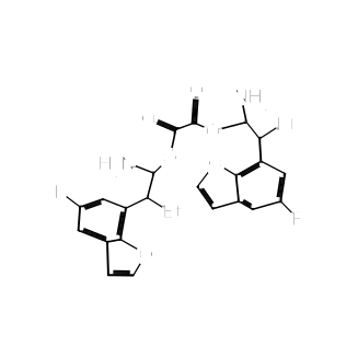 CCC(c1cc(F)cc2ccoc12)C(N)OC(=O)C(=O)OC(N)C(CC)c1cc(F)cc2ccoc12